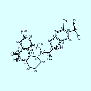 CN(C(=O)c1cc2cc(F)c(C(F)F)cc2[nH]1)[C@@H]1CCCc2[nH]c(=O)c3cc(F)ccc3c21